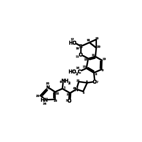 NC(C(=O)N1CC(Oc2ccc3c(c2C(=O)O)OB(O)C2CC32)C1)c1c[nH]cn1